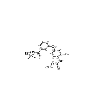 CCC(C)(C)NC(=O)c1cccc(Oc2ccc(NC(=O)OC(C)(C)C)c(F)c2)c1